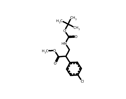 COC(=O)C(CNC(=O)OC(C)(C)C)c1ccc(Cl)cc1